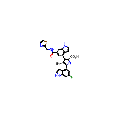 CC(C)c1c(-c2cc(F)cc3[nH]ccc23)[nH]c(C(=O)O)c1-c1cc(C(=O)NCc2nccs2)cc2[nH]ccc12